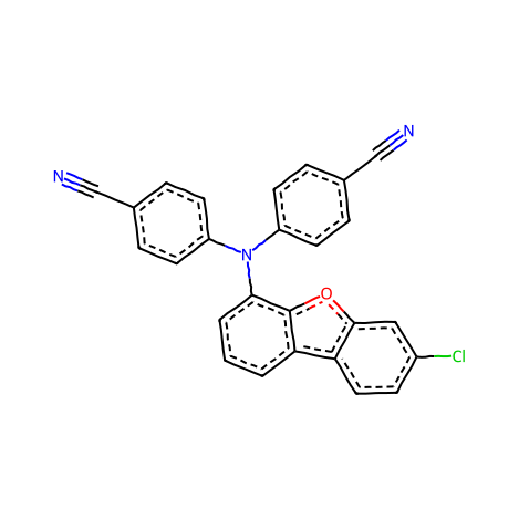 N#Cc1ccc(N(c2ccc(C#N)cc2)c2cccc3c2oc2cc(Cl)ccc23)cc1